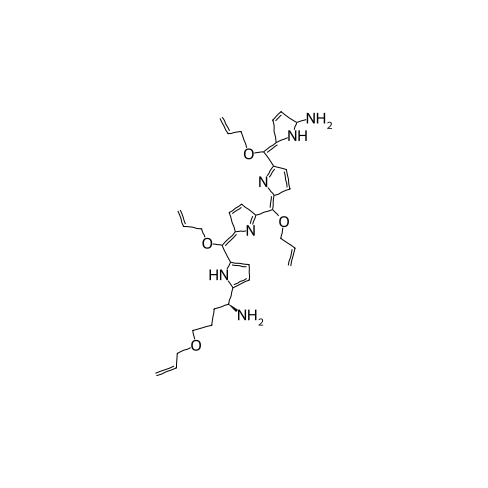 C=CCOCCC[C@H](N)c1ccc(/C(OCC=C)=C2/C=CC(C(/OCC=C)=C3/C=CC(C(/OCC=C)=C4/C=CC(N)N4)=N3)=N2)[nH]1